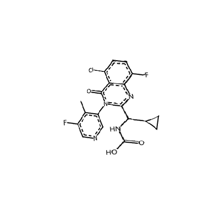 Cc1c(F)cncc1-n1c(C(NC(=O)O)C2CC2)nc2c(F)ccc(Cl)c2c1=O